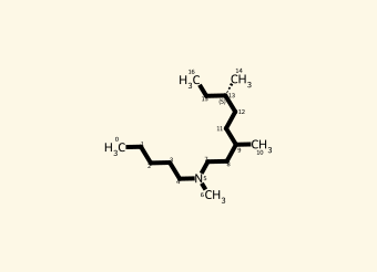 CCCCCN(C)CCC(C)CC[C@@H](C)CC